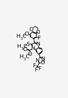 COC(=O)N=C(SC)C(=Nc1ccc(-c2noc(C(F)(F)F)n2)cc1)c1cc(OC)c2c(c1F)OCCO2